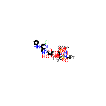 COC[C@@](OC[C@H]1O[C@@H](n2ncc3c(NC4CCCC4)cc(Cl)nc32)[C@H](O)[C@@H]1O)(C(=O)N=S(C)(=O)NC(=O)C(C)C)P(=O)(O)O